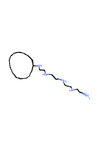 NCCNCCNCCNCCNC1CCCCCCCCCCCCCC1